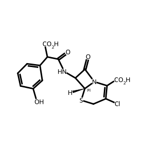 O=C(O)C1=C(Cl)CS[C@@H]2C(NC(=O)C(C(=O)O)c3cccc(O)c3)C(=O)N12